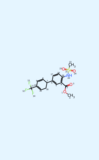 COC(=O)c1cc(C2C=CC(C(F)(F)F)=CC2)ccc1NS(C)(=O)=O